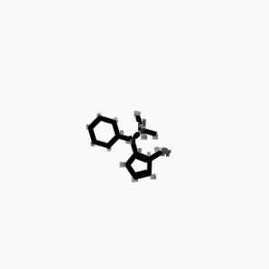 CC(C)C1=C(N(C2CCCCC2)[SiH](C)C)CC=C1